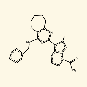 Cc1nn2c(C(N)=O)cccc2c1-c1nc2c(c(NCc3ccccc3)n1)OCCCC2